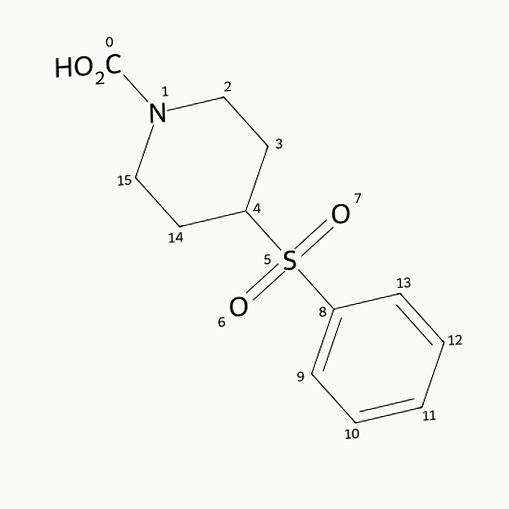 O=C(O)N1CCC(S(=O)(=O)c2ccccc2)CC1